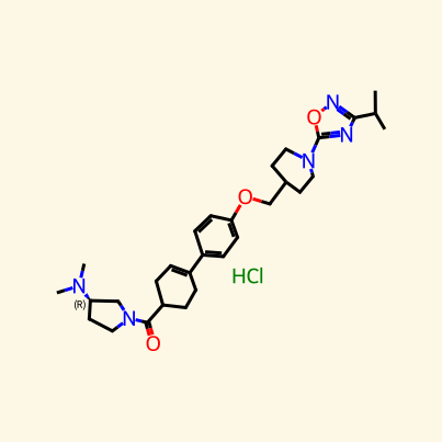 CC(C)c1noc(N2CCC(COc3ccc(C4=CCC(C(=O)N5CC[C@@H](N(C)C)C5)CC4)cc3)CC2)n1.Cl